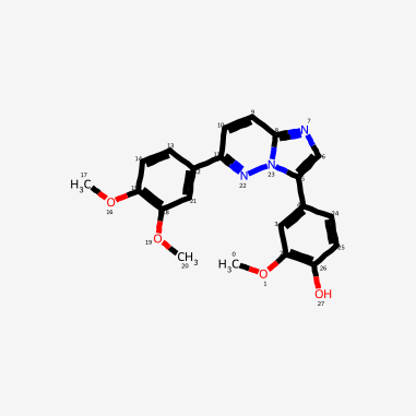 COc1cc(-c2cnc3ccc(-c4ccc(OC)c(OC)c4)nn23)ccc1O